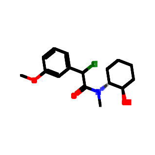 COc1cccc(C(Cl)C(=O)N(C)[C@@H]2CCCC[C@H]2O)c1